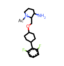 CC(=O)N1CCCC(N)C1COC1CCC(c2c(F)cccc2F)CC1